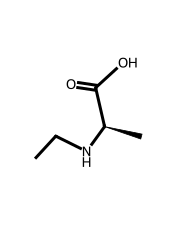 CCN[C@H](C)C(=O)O